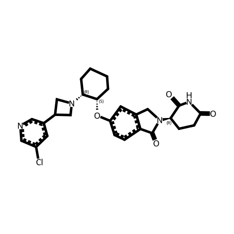 O=C1CC[C@@H](N2Cc3cc(O[C@H]4CCCC[C@H]4N4CC(c5cncc(Cl)c5)C4)ccc3C2=O)C(=O)N1